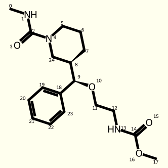 CNC(=O)N1CCC[C@@H]([C@@H](OCCNC(=O)OC)c2ccccc2)C1